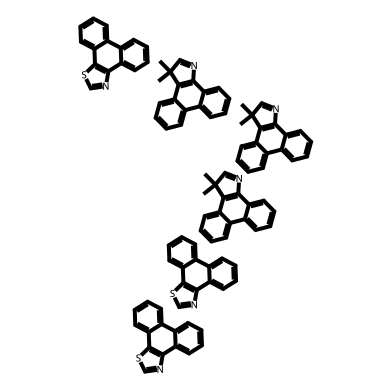 CC1(C)C=Nc2c1c1ccccc1c1ccccc21.CC1(C)C=Nc2c1c1ccccc1c1ccccc21.CC1(C)C=Nc2c1c1ccccc1c1ccccc21.c1ccc2c(c1)c1ccccc1c1scnc21.c1ccc2c(c1)c1ccccc1c1scnc21.c1ccc2c(c1)c1ccccc1c1scnc21